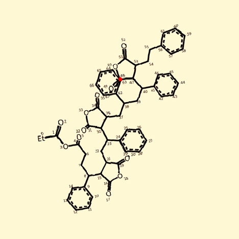 CCC(=O)OC(=O)CCC(c1ccccc1)C1C(=O)OC(=O)C1CC(c1ccccc1)C1C(=O)OC(=O)C1CC(CC(c1ccccc1)C1C(=O)OC(=O)C1CCc1ccccc1)c1ccccc1